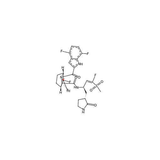 CS(=O)(=O)/C(F)=C\[C@@H](C[C@H]1CCNC1=O)NC(=O)[C@H]1[C@@H]2CC[C@@H](CC2(F)F)N1C(=O)c1cc2c(F)ccc(F)c2[nH]1